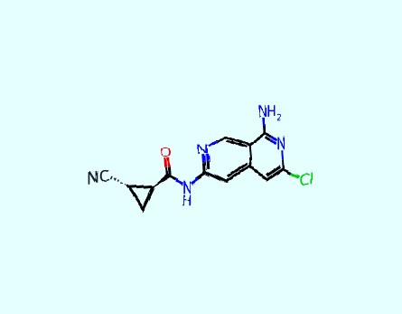 N#C[C@H]1C[C@@H]1C(=O)Nc1cc2cc(Cl)nc(N)c2cn1